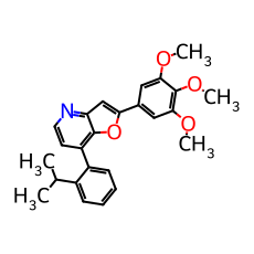 COc1cc(-c2cc3nccc(-c4ccccc4C(C)C)c3o2)cc(OC)c1OC